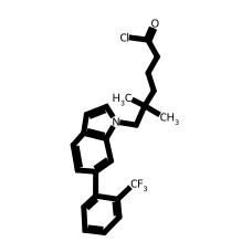 CC(C)(CCCC(=O)Cl)Cn1ccc2ccc(-c3ccccc3C(F)(F)F)cc21